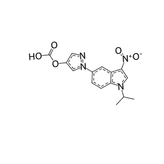 CC(C)n1cc([N+](=O)[O-])c2cc(-n3cc(OC(=O)O)cn3)ccc21